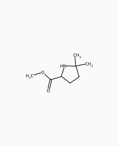 COC(=O)C1CCC(C)(C)N1